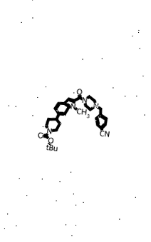 Cn1c(C(=O)N2CCN(Cc3ccc(C#N)cc3)CC2)cc2ccc(C3CCN(C(=O)OC(C)(C)C)CC3)cc21